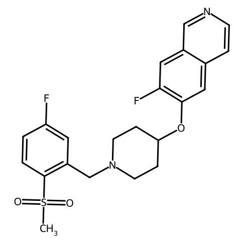 CS(=O)(=O)c1ccc(F)cc1CN1CCC(Oc2cc3ccncc3cc2F)CC1